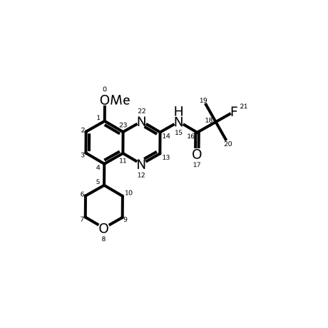 COc1ccc(C2CCOCC2)c2ncc(NC(=O)C(C)(C)F)nc12